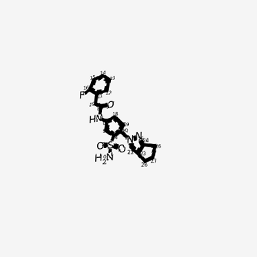 NS(=O)(=O)c1cc(NC(=O)Cc2ccccc2F)ccc1-n1cc2c(n1)CCC2